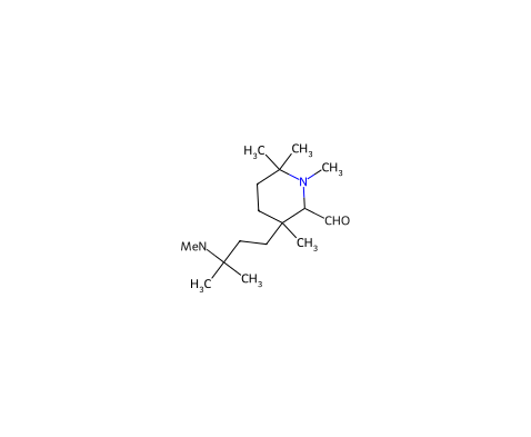 CNC(C)(C)CCC1(C)CCC(C)(C)N(C)C1C=O